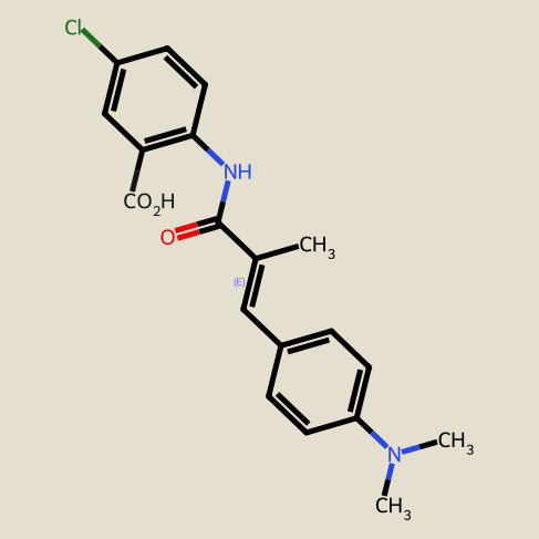 C/C(=C\c1ccc(N(C)C)cc1)C(=O)Nc1ccc(Cl)cc1C(=O)O